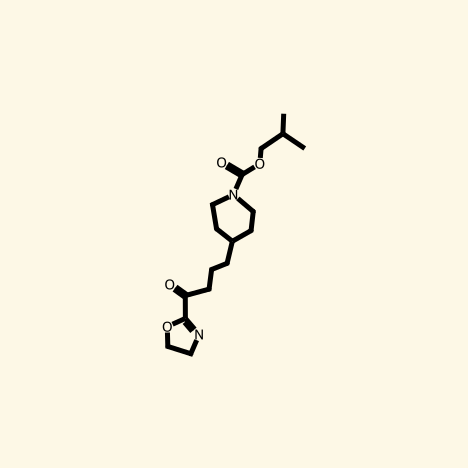 CC(C)COC(=O)N1CCC(CCCC(=O)C2=NCCO2)CC1